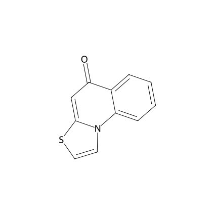 O=c1cc2sccn2c2ccccc12